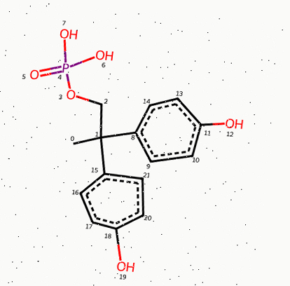 CC(COP(=O)(O)O)(c1ccc(O)cc1)c1ccc(O)cc1